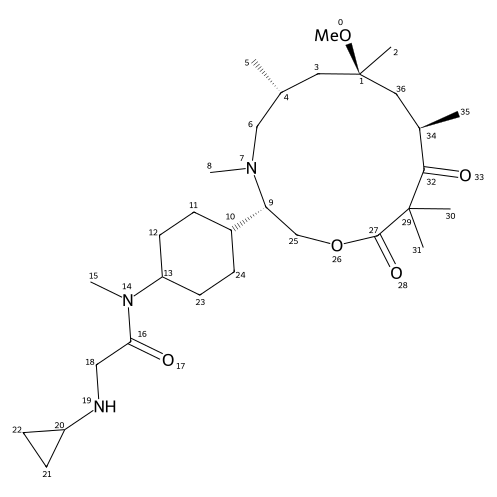 CO[C@]1(C)C[C@@H](C)CN(C)[C@@H](C2CCC(N(C)C(=O)CNC3CC3)CC2)COC(=O)C(C)(C)C(=O)[C@H](C)C1